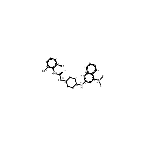 CCc1cccc(CC)c1NC(=S)NC1CCC(Nc2cc(N(C)C)c3ccccc3n2)CC1